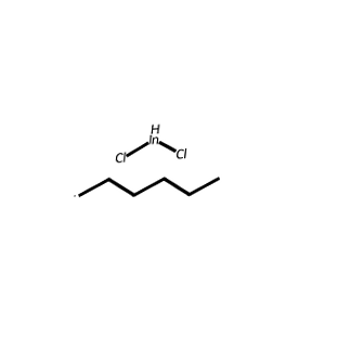 [CH2]CCCCC.[Cl][InH][Cl]